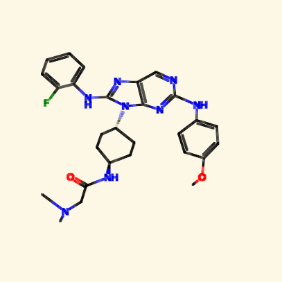 COc1ccc(Nc2ncc3nc(Nc4ccccc4F)n([C@H]4CC[C@H](NC(=O)CN(C)C)CC4)c3n2)cc1